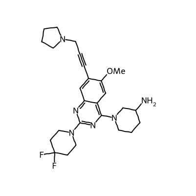 COc1cc2c(N3CCCC(N)C3)nc(N3CCC(F)(F)CC3)nc2cc1C#CCN1CCCC1